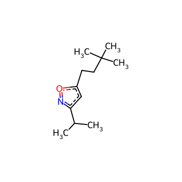 CC(C)c1cc(CCC(C)(C)C)on1